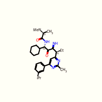 CC[C@H](C(=N)C(=O)[C@@H](NC(=O)[C@H](C)NC)C1CCCCC1)c1cc(-c2cccc(C(C)C)c2)nc(C)n1